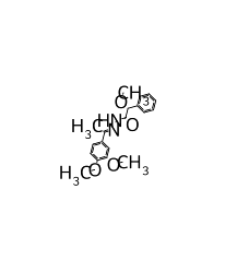 COc1ccc(/C(C)=N/NC(=O)C(OC)c2ccccc2)cc1OC